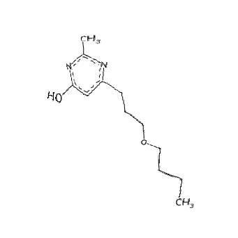 CCCCOCCCc1cc(O)nc(C)n1